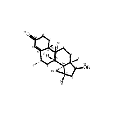 C[C@H]1C[C@@H]2[C@H](CC[C@]3(C)C(O)C[C@@H]4C[C@]423)[C@@]2(C)CCC(=O)C=C12